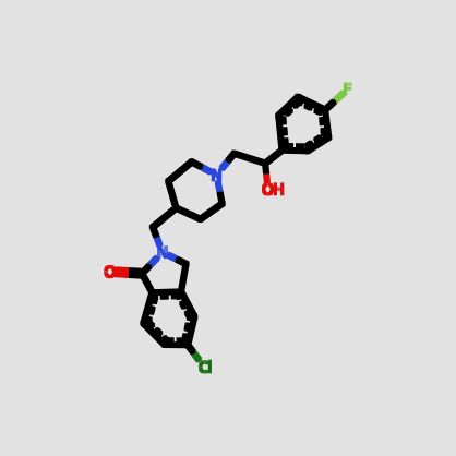 O=C1c2ccc(Cl)cc2CN1CC1CCN(CC(O)c2ccc(F)cc2)CC1